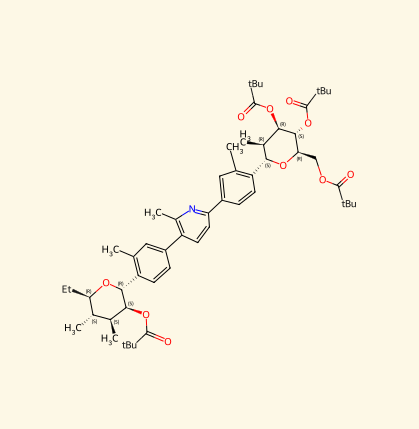 CC[C@H]1O[C@H](c2ccc(-c3ccc(-c4ccc([C@H]5O[C@H](COC(=O)C(C)(C)C)[C@@H](OC(=O)C(C)(C)C)[C@H](OC(=O)C(C)(C)C)[C@@H]5C)c(C)c4)nc3C)cc2C)[C@@H](OC(=O)C(C)(C)C)[C@@H](C)[C@@H]1C